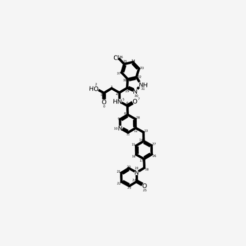 O=C(O)CC(NC(=O)c1cncc(Cc2ccc(Cn3ccccc3=O)cc2)c1)c1n[nH]c2ccc(Cl)cc12